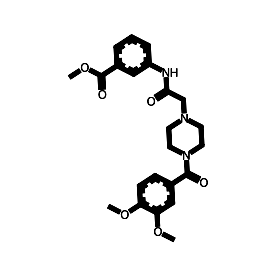 COC(=O)c1cccc(NC(=O)CN2CCN(C(=O)c3ccc(OC)c(OC)c3)CC2)c1